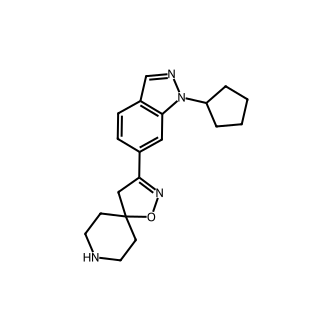 c1cc2cnn(C3CCCC3)c2cc1C1=NOC2(CCNCC2)C1